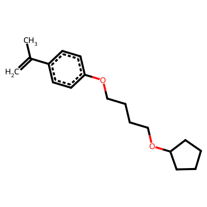 C=C(C)c1ccc(OCCCCOC2CCCC2)cc1